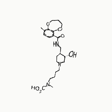 Cc1ccc(C(=O)NC[C@@H]2CCN(CCCCN(C)C(=O)O)C[C@H]2O)c2c1OCCCO2